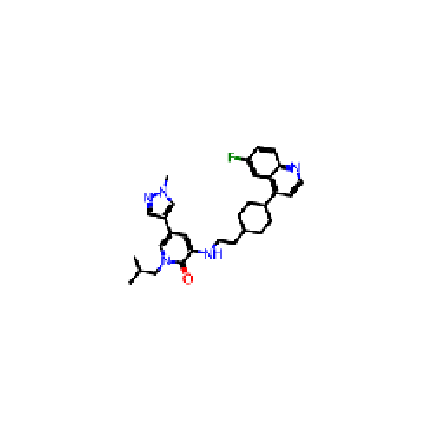 CC(C)Cn1cc(-c2cnn(C)c2)cc(NCCC2CCC(c3ccnc4ccc(F)cc34)CC2)c1=O